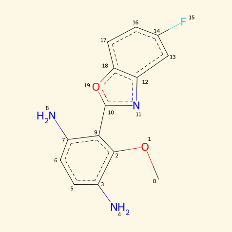 COc1c(N)ccc(N)c1-c1nc2cc(F)ccc2o1